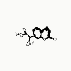 O=C(O)C(O)c1ccc2ccc(=O)oc2c1